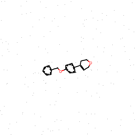 [c]1cc(OCc2ccccc2)ccc1C1=CCOCC1